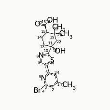 Cc1cc(Br)nc(-c2cnc([C@]3(O)CC[C@@H](C(=O)O)C(C)(C)C3)s2)c1